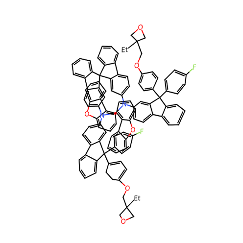 CCC1(COC2=CC=C(C3(c4ccc(F)cc4)c4ccccc4-c4ccc(N(c5ccc6c(c5)C5(c7ccccc7-6)c6ccccc6-c6ccc(N(c7ccc8c(c7)C(c7ccc(F)cc7)(c7ccc(OCC9(CC)COC9)cc7)c7ccccc7-8)c7cccc8oc9ccccc9c78)cc65)c5cccc6oc7ccccc7c56)cc43)CC2)COC1